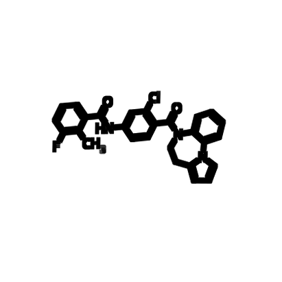 Cc1c(F)cccc1C(=O)Nc1ccc(C(=O)N2CCc3cccn3-c3ccccc32)c(Cl)c1